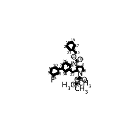 CC(C)(C)OC(=O)N1CCC(NC(=O)OCc2ccccc2)C1Cc1cccc(-c2cccc(F)c2)c1